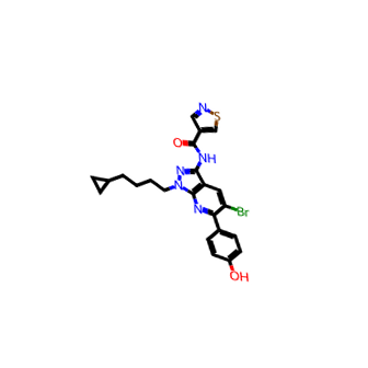 O=C(Nc1nn(CCCCC2CC2)c2nc(-c3ccc(O)cc3)c(Br)cc12)c1cnsc1